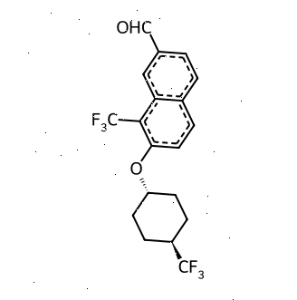 O=Cc1ccc2ccc(O[C@H]3CC[C@H](C(F)(F)F)CC3)c(C(F)(F)F)c2c1